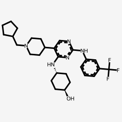 O[C@H]1CC[C@H](Nc2nc(Nc3cccc(C(F)(F)F)c3)ncc2C2CCN(CC3CCCC3)CC2)CC1